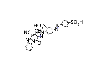 CC1=C(C#N)c2nc3ccccc3n2C(=O)/C1=N/Nc1ccc(/N=N/c2ccc(S(=O)(=O)O)cc2)cc1S(=O)(=O)O